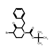 CC(C)(C)OC(=O)N1CCC(Br)C(=O)C1Cc1ccccc1